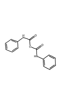 O=C(Nc1ccccc1)OC(=O)Nc1ccccc1